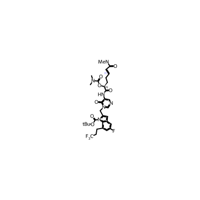 CNC(=O)/C=C/CC[C@H](OC(=O)N(C)C)C(=O)Nc1cncn(Cc2cc3cc(F)cc(CCC(F)(F)F)c3n2C(=O)OC(C)(C)C)c1=O